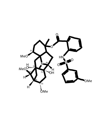 COc1cccc(S(=O)(=O)Nc2ccccc2C(=O)OC2(C)CC[C@H](OC)C34C2C[C@@H](N3C)[C@@]2(O)C[C@H](OC)[C@H]3CC4[C@]2(O)[C@H]3OC)c1